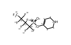 O=S(=O)(OC1=CCNCC1)C(F)(F)C(F)(F)C(F)(F)C(F)(F)F